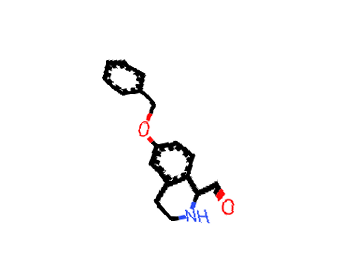 O=CC1NCCc2cc(OCc3ccccc3)ccc21